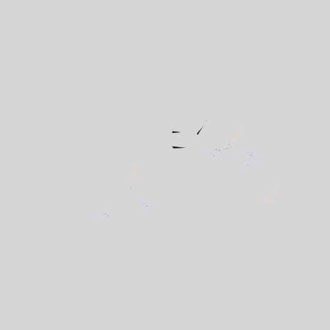 NC1=N[C@](CF)(c2cc(NC(=O)c3ccc(Cl)cn3)ccc2F)[C@@H]2C[C@]2(C=CC(=O)N2CCOCC2)S1